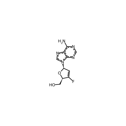 Nc1ncnc2c1ncn2[C@H]1C=C(F)[C@@H](CO)O1